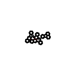 c1ccc(N(c2ccc3c(c2)-c2cccc4cccc-3c24)c2ccc(-n3c4ccccc4c4cc5ccccc5cc43)c3ccccc23)c(-c2ccc3ccccc3c2)c1